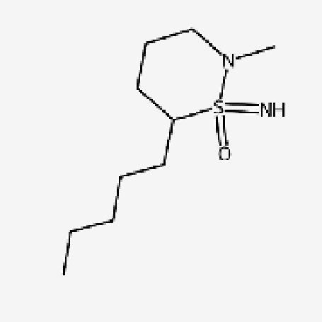 CCCCCC1CCCN(C)S1(=N)=O